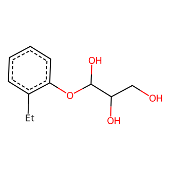 CCc1ccccc1OC(O)C(O)CO